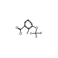 O=C(Cl)c1cccc(OC(F)(F)F)c1F